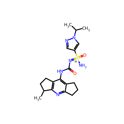 CC1CCc2c1nc1c(c2NC(=O)N=[S@@](N)(=O)c2cnn(C(C)C)c2)CCC1